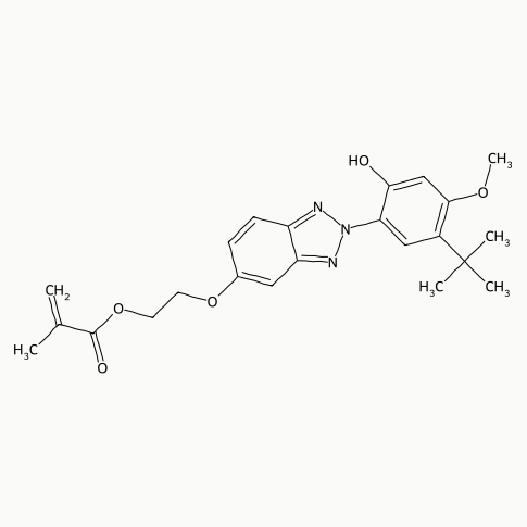 C=C(C)C(=O)OCCOc1ccc2nn(-c3cc(C(C)(C)C)c(OC)cc3O)nc2c1